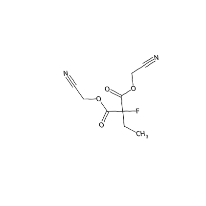 CCC(F)(C(=O)OCC#N)C(=O)OCC#N